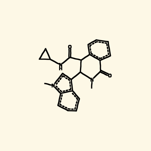 CN1C(=O)c2ccccc2C(C(=O)NC2CC2)C1c1cn(C)c2ccccc12